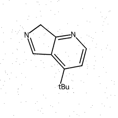 CC(C)(C)c1ccnc2c1C=NC2